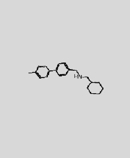 Cc1ccc(-c2ccc(CNCC3CCCCC3)cc2)cc1